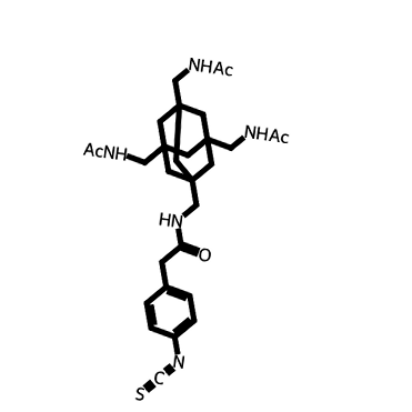 CC(=O)NCC12CC3(CNC(C)=O)CC(CNC(C)=O)(C1)CC(CNC(=O)Cc1ccc(N=C=S)cc1)(C2)C3